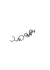 CCC(CC)CN1CCC(O/N=N\O)CC1